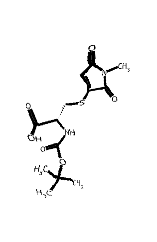 CN1C(=O)C=C(SC[C@H](NC(=O)OC(C)(C)C)C(=O)O)C1=O